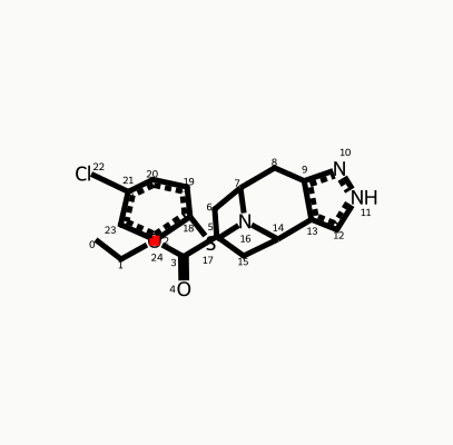 CCOC(=O)C1CC2Cc3n[nH]cc3C(C1)N2Sc1ccc(Cl)cc1